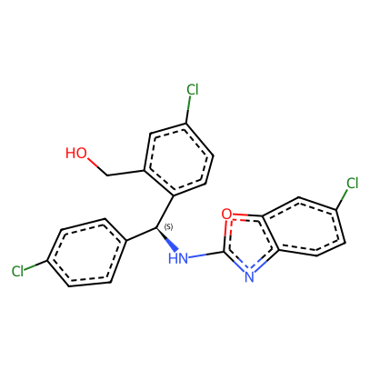 OCc1cc(Cl)ccc1[C@@H](Nc1nc2ccc(Cl)cc2o1)c1ccc(Cl)cc1